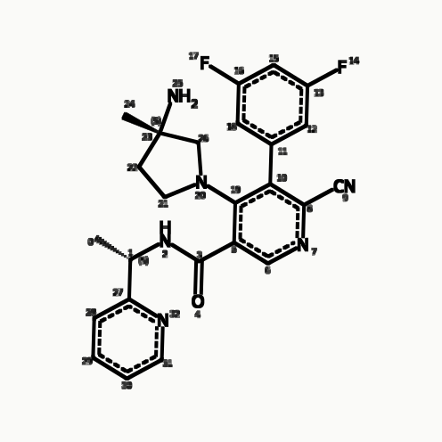 C[C@H](NC(=O)c1cnc(C#N)c(-c2cc(F)cc(F)c2)c1N1CC[C@](C)(N)C1)c1ccccn1